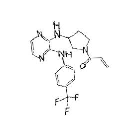 C=CC(=O)N1CCC(Nc2nccnc2Nc2ccc(C(F)(F)F)cc2)C1